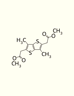 COC(=O)Cc1sc2c(C)c(CC(=O)OC)sc2c1C